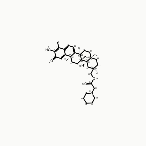 CC1=C(O)C(=O)C=C2C1=CC=C1[C@@]2(C)CC[C@@]2(C)[C@@H]3C[C@](C)(COC(=O)CN4CCCCC4)CC[C@]3(C)CC[C@]12C